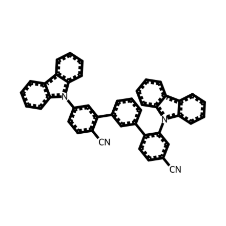 N#Cc1ccc(-c2cccc(-c3cc(-n4c5ccccc5c5ccccc54)ccc3C#N)c2)c(-n2c3ccccc3c3ccccc32)c1